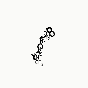 Cc1cc(C(F)(F)F)nn1CC(=O)N1CCC(n2ccc(C(=O)N(C)[C@@H]3CCCc4ccccc43)n2)CC1